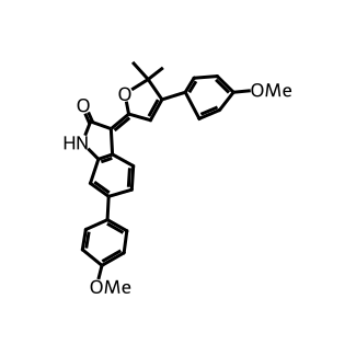 COc1ccc(C2=CC(=C3C(=O)Nc4cc(-c5ccc(OC)cc5)ccc43)OC2(C)C)cc1